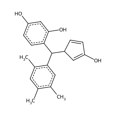 Cc1cc(C)c(C(c2ccc(O)cc2O)C2C=CC(O)=C2)cc1C